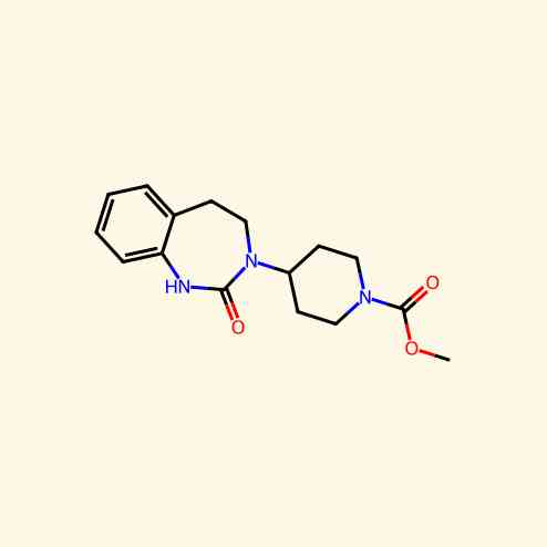 COC(=O)N1CCC(N2CCc3ccccc3NC2=O)CC1